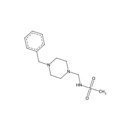 CS(=O)(=O)NCN1CCN(Cc2ccccc2)CC1